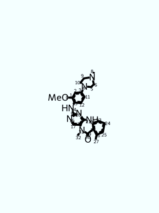 COc1cc(N2CCN(C)CC2)ccc1Nc1ncc2c(n1)Nc1cccc(C)c1C(=O)N2C